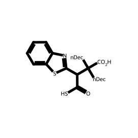 CCCCCCCCCCC(CCCCCCCCCC)(C(=O)O)C(C(=O)S)c1nc2ccccc2s1